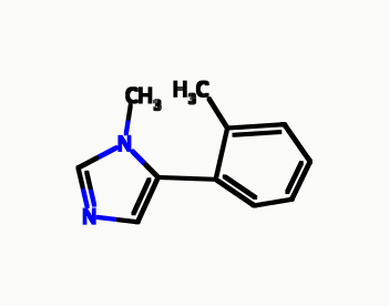 Cc1ccccc1-c1cncn1C